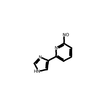 O=Nc1cccc(-c2c[nH]cn2)n1